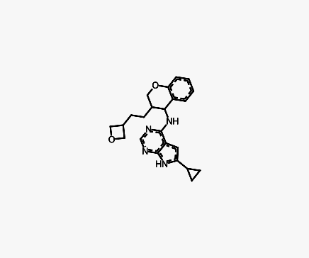 c1ccc2c(c1)OCC(CCC1COC1)C2Nc1ncnc2[nH]c(C3CC3)cc12